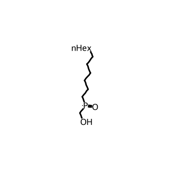 CCCCCCCCCCCC[P](=O)CO